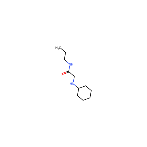 CCCNC(=O)CNC1CCCCC1